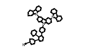 N#Cc1ccc(-c2cccc(-c3ccc(-n4c5ccc(-n6c7ccccc7c7ccccc76)cc5c5cc(-n6c7ccccc7c7ccccc76)ccc54)cc3)c2-c2ccccc2)cc1